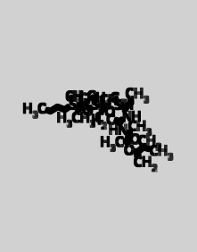 C=C(NC(CC)[SiH](C)OC(C)(C)[SiH](C)OC(C)(C)[SiH](C)CCCC)NC1(C)OC1(C)OC(=C)C(=C)C